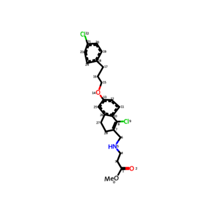 COC(=O)CCNCC1=C(Cl)c2ccc(OCCCc3ccc(Cl)cc3)cc2CC1